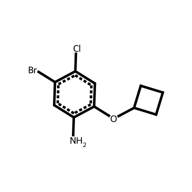 Nc1cc(Br)c(Cl)cc1OC1CCC1